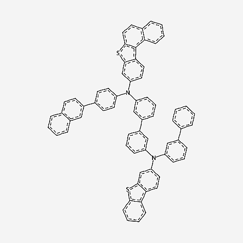 c1ccc(-c2cccc(N(c3cccc(-c4cccc(N(c5ccc(-c6ccc7ccccc7c6)cc5)c5ccc6c(c5)sc5ccc7ccccc7c56)c4)c3)c3ccc4c(c3)sc3ccccc34)c2)cc1